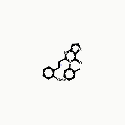 COc1ccccc1/C=C/c1nc2ccsc2c(=O)n1-c1ccccc1C